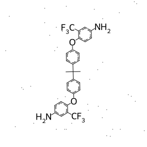 CC(C)(c1ccc(Oc2ccc(N)cc2C(F)(F)F)cc1)c1ccc(Oc2ccc(N)cc2C(F)(F)F)cc1